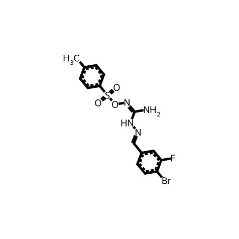 Cc1ccc(S(=O)(=O)ON=C(N)NN=Cc2ccc(Br)c(F)c2)cc1